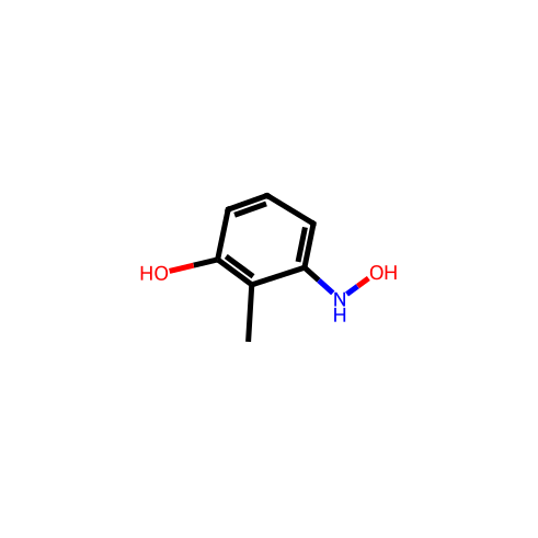 Cc1c(O)cccc1NO